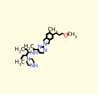 C=C/C(NC(=C)c1ccnc(N2Cc3cc(C)c(CCCOC)cc3C2)n1)=C(\C=C/C)N1CCNCC1